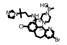 CB(O)N1CCN([C@H]2c3ccc(Cl)cc3CCc3cc(Br)cnc32)[C@@H](C(=O)NCCC(C)(C)n2ccnc2)C1